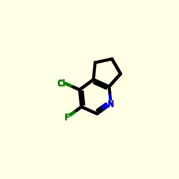 Fc1cnc2c(c1Cl)CCC2